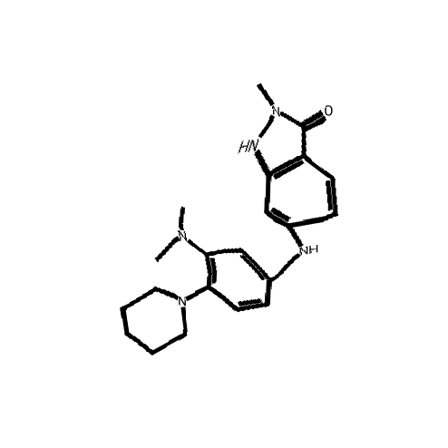 CN(C)c1cc(Nc2ccc3c(=O)n(C)[nH]c3c2)ccc1N1CCCCC1